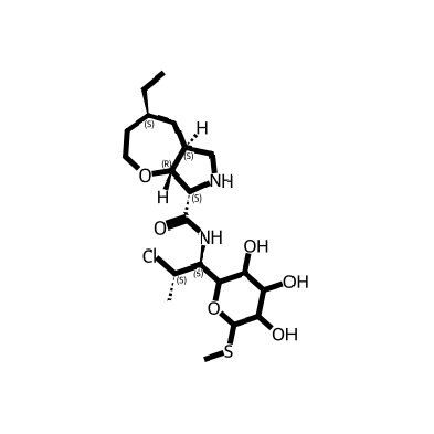 CC[C@@H]1CCO[C@@H]2[C@H](CN[C@@H]2C(=O)N[C@@H](C2OC(SC)C(O)C(O)C2O)[C@H](C)Cl)C1